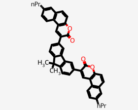 CCCc1ccc2c(ccc3oc(=O)c(-c4ccc5c(c4)-c4cc(-c6cc7c(ccc8cc(CCC)ccc87)oc6=O)ccc4C5(C)C)cc32)c1